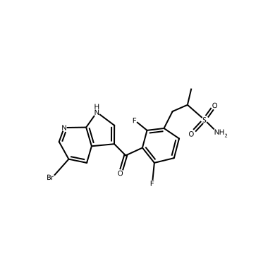 CC(Cc1ccc(F)c(C(=O)c2c[nH]c3ncc(Br)cc23)c1F)S(N)(=O)=O